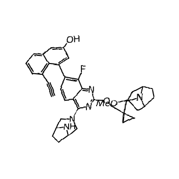 C#Cc1cccc2cc(O)cc(-c3ccc4c(N5CC6CCC(C5)N6)nc(OCC5(CN6C7CCC6CC(OC)C7)CC5)nc4c3F)c12